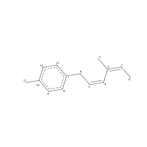 C/C=C(C)\C=C/Cc1ccc(C)cc1